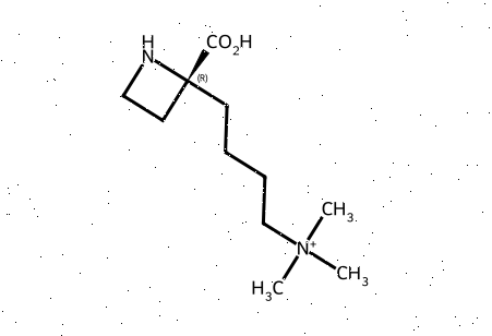 C[N+](C)(C)CCCC[C@]1(C(=O)O)CCN1